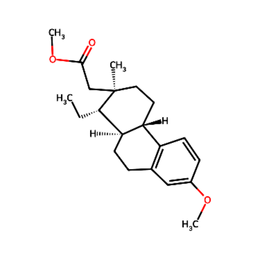 CC[C@H]1[C@@H]2CCc3cc(OC)ccc3[C@H]2CC[C@]1(C)CC(=O)OC